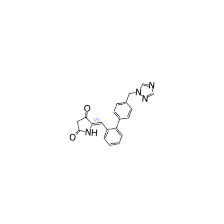 O=C1CC(=O)/C(=C/c2ccccc2-c2ccc(Cn3cncn3)cc2)N1